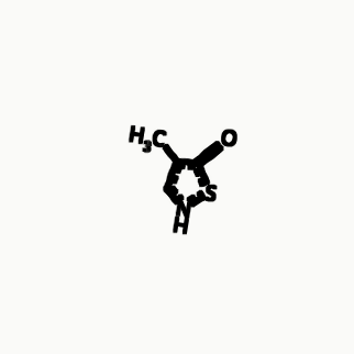 Cc1c[nH]sc1=O